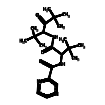 CC(C)(C)C(=O)C(NC(=O)C(NC(=O)c1cnccn1)C(C)(C)C)C(C)(C)C